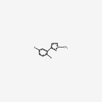 Cn1[c]cc(-c2cc(F)ccc2F)n1